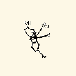 CC(C)(C)N1C(=O)C2(NC1=S)c1cc(Br)ccc1CC21CCC(O)CC1